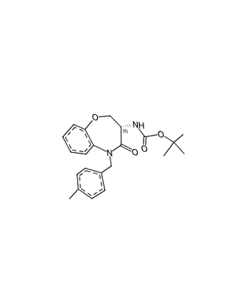 Cc1ccc(CN2C(=O)[C@@H](NC(=O)OC(C)(C)C)COc3ccccc32)cc1